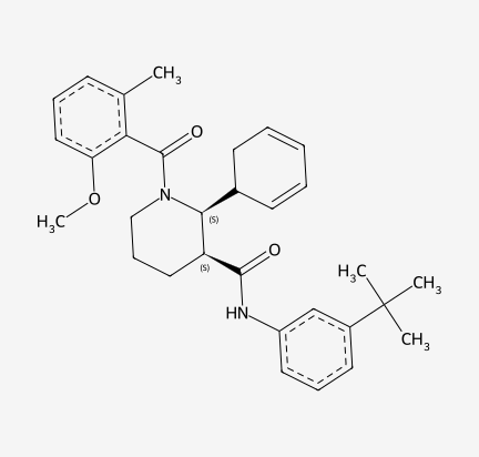 COc1cccc(C)c1C(=O)N1CCC[C@H](C(=O)Nc2cccc(C(C)(C)C)c2)[C@@H]1C1C=CC=CC1